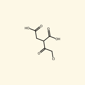 O=C(O)CC(C(=O)O)C(=O)CCl